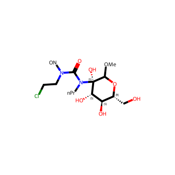 CCCN(C(=O)N(CCCl)N=O)[C@@]1(O)C(OC)O[C@H](CO)[C@@H](O)[C@@H]1O